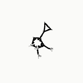 CC(C)c1c(C2CC2)cnn1C(C)C